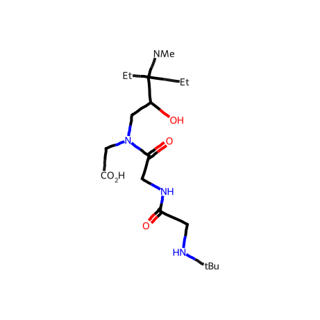 CCC(CC)(NC)C(O)CN(CC(=O)O)C(=O)CNC(=O)CNC(C)(C)C